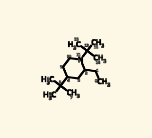 CCC1CC(C(C)(C)C)CCN1C(C)(C)C